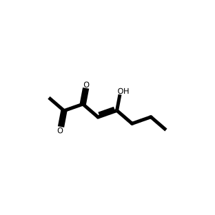 CCC/C(O)=C/C(=O)C(C)=O